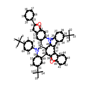 CC(C)(C)c1ccc(N2B3c4cc5cc(-c6ccccc6)oc5cc4-n4c5ccc(C(C)(C)C)cc5c5c6c(oc7ccccc76)c(c3c54)-c3cc(C(C)(C)C)ccc32)cc1